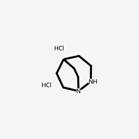 C1CC2CCN(CC2)N1.Cl.Cl